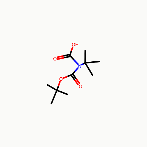 CC(C)(C)OC(=O)N(C(=O)O)C(C)(C)C